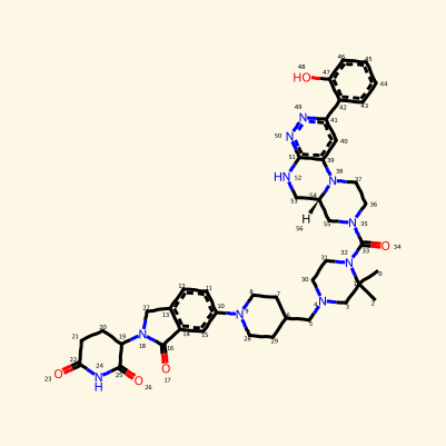 CC1(C)CN(CC2CCN(c3ccc4c(c3)C(=O)N(C3CCC(=O)NC3=O)C4)CC2)CCN1C(=O)N1CCN2c3cc(-c4ccccc4O)nnc3NC[C@H]2C1